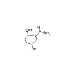 NC(=O)C1CC(O)CCC1O